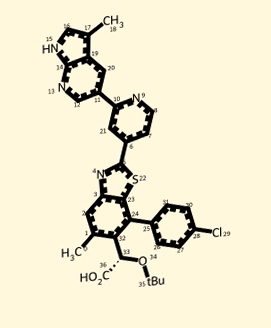 Cc1cc2nc(-c3ccnc(-c4cnc5[nH]cc(C)c5c4)c3)sc2c(-c2ccc(Cl)cc2)c1[C@H](OC(C)(C)C)C(=O)O